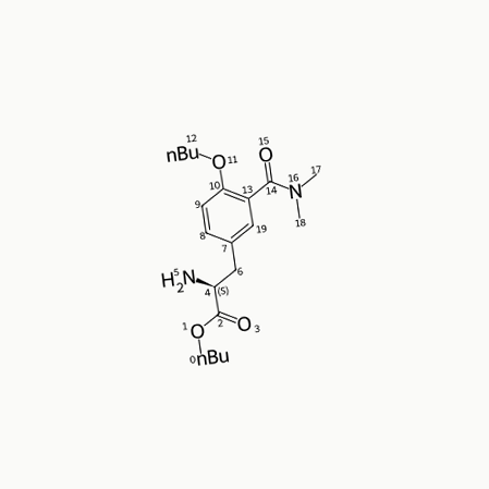 CCCCOC(=O)[C@@H](N)Cc1ccc(OCCCC)c(C(=O)N(C)C)c1